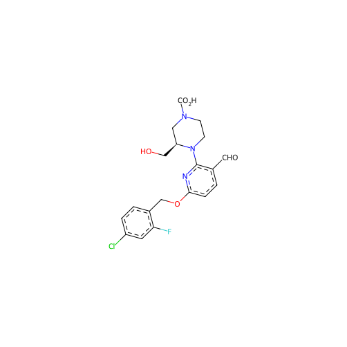 O=Cc1ccc(OCc2ccc(Cl)cc2F)nc1N1CCN(C(=O)O)C[C@@H]1CO